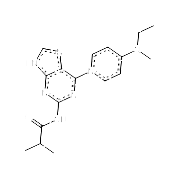 CCN(C)c1cc[n+](-c2nc(NC(=O)C(C)C)nc3[nH]cnc23)cc1